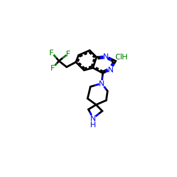 Cl.FC(F)(F)Cc1ccc2ncnc(N3CCC4(CC3)CNC4)c2c1